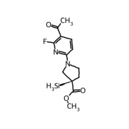 COC(=O)[C@@]1([SiH3])CCN(c2ccc(C(C)=O)c(F)n2)C1